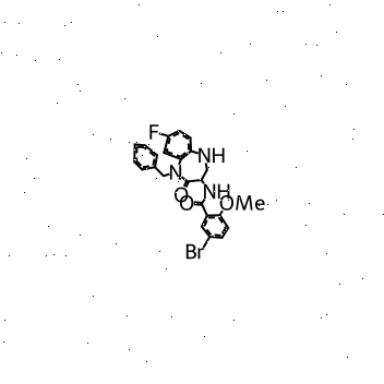 COc1ccc(Br)cc1C(=O)NC1CNc2ccc(F)cc2N(Cc2ccccc2)C1=O